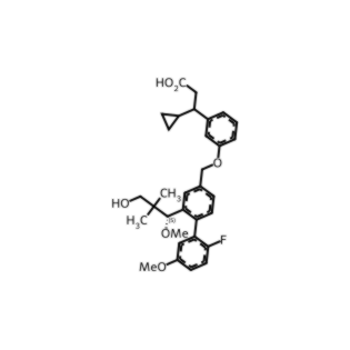 COc1ccc(F)c(-c2ccc(COc3cccc(C(CC(=O)O)C4CC4)c3)cc2[C@H](OC)C(C)(C)CO)c1